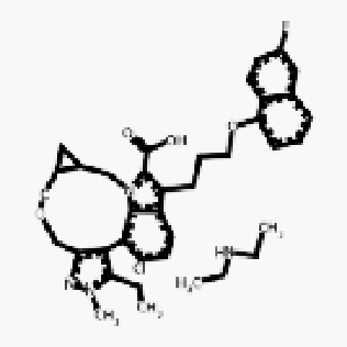 CCNCC.CCc1c2c(nn1C)COCC1CC1Cn1c(C(=O)O)c(CCCOc3cccc4cc(F)ccc34)c3ccc(Cl)c-2c31